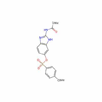 COC(=O)Nc1nc2ccc(OS(=O)(=O)c3ccc(OC)cc3)cc2[nH]1